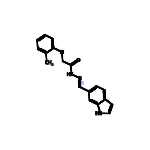 Cc1ccccc1OCC(=O)N/N=C/c1ccc2cc[nH]c2c1